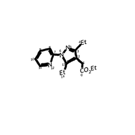 CCOC(=O)Cc1c(CC)nn(-c2ccccn2)c1CC